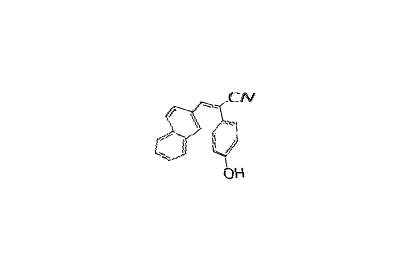 N#CC(=Cc1ccc2ccccc2c1)c1ccc(O)cc1